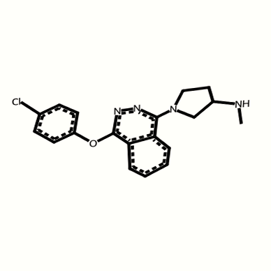 CNC1CCN(c2nnc(Oc3ccc(Cl)cc3)c3ccccc23)C1